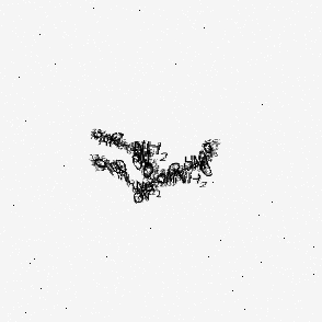 CN(C(=O)[C@H](N)CCCCNC(=O)OCc1ccccc1)c1ccc(C(c2ccc(N(C)C(=O)[C@H](N)CCCCNC(=O)OCc3ccccc3)cc2)c2ccc(N(C)C(=O)[C@H](N)CCCCNC(=O)OCc3ccccc3)cc2)cc1